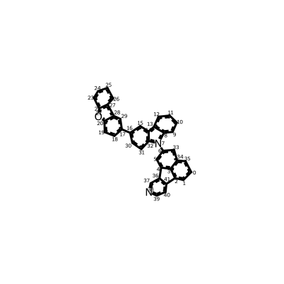 c1cc2c3c(cc(-n4c5ccccc5c5cc(-c6ccc7oc8ccccc8c7c6)ccc54)cc3c1)-c1cnccc1-2